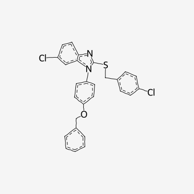 Clc1ccc(CSc2nc3ccc(Cl)cc3n2-c2ccc(OCc3ccccc3)cc2)cc1